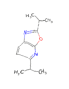 CC(C)c1ccc2nc(C(C)C)oc2n1